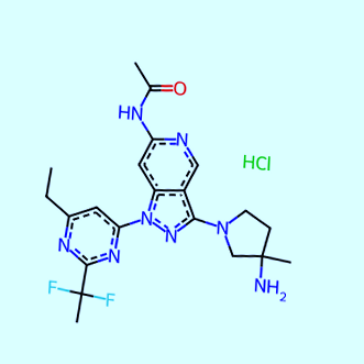 CCc1cc(-n2nc(N3CCC(C)(N)C3)c3cnc(NC(C)=O)cc32)nc(C(C)(F)F)n1.Cl